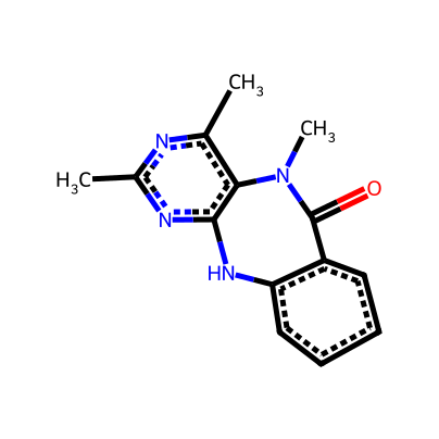 Cc1nc(C)c2c(n1)Nc1ccccc1C(=O)N2C